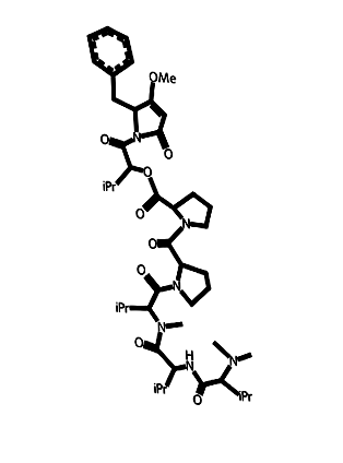 COC1=CC(=O)N(C(=O)C(OC(=O)C2CCCN2C(=O)C2CCCN2C(=O)C(C(C)C)N(C)C(=O)C(NC(=O)C(C(C)C)N(C)C)C(C)C)C(C)C)C1Cc1ccccc1